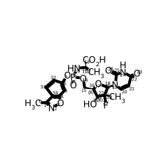 Cc1noc2cc(OP(=O)(N[C@@H](C)C(=O)O)OC[C@H]3O[C@@H](n4ccc(=O)[nH]c4=O)[C@](C)(F)[C@@H]3O)ccc12